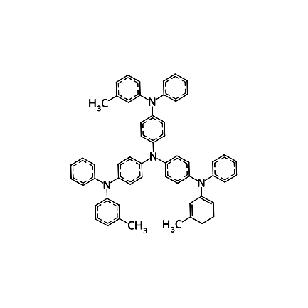 CC1=CC(N(c2ccccc2)c2ccc(N(c3ccc(N(c4ccccc4)c4cccc(C)c4)cc3)c3ccc(N(c4ccccc4)c4cccc(C)c4)cc3)cc2)=CCC1